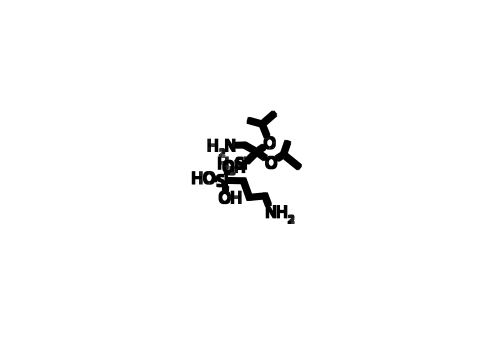 CC(C)OC([SiH3])(CN)OC(C)C.NCCC[Si](O)(O)O